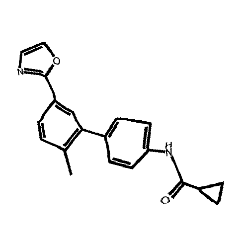 Cc1ccc(-c2ncco2)cc1-c1ccc(NC(=O)C2CC2)cc1